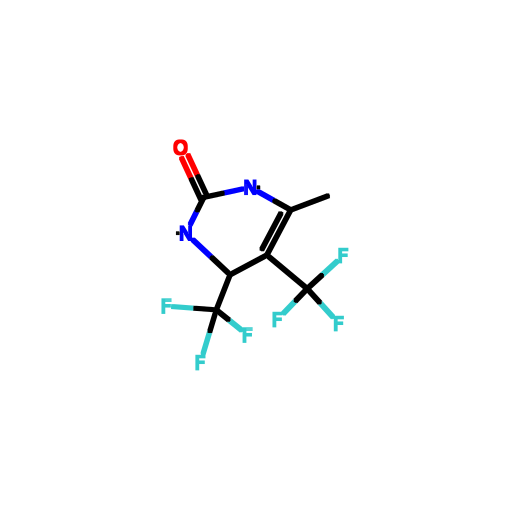 CC1=C(C(F)(F)F)C(C(F)(F)F)[N]C(=O)[N]1